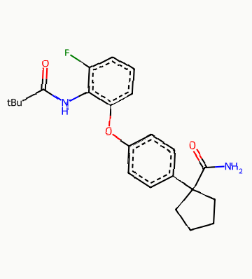 CC(C)(C)C(=O)Nc1c(F)cccc1Oc1ccc(C2(C(N)=O)CCCC2)cc1